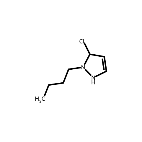 CCCCN1NC=CC1Cl